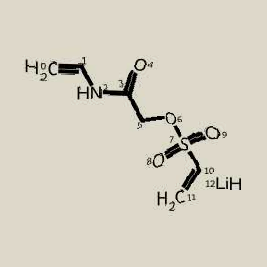 C=CNC(=O)COS(=O)(=O)C=C.[LiH]